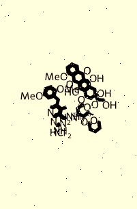 COc1ccc(OC)c(Cc2cnc3nc(N)nc(N)c3c2C)c1.COc1cccc2c1C(=O)c1c(O)c3c(c(O)c1C2=O)C[C@@](O)(C(=O)CO)CC3O[C@H]1C[C@H](N)[C@H](O[C@@H]2CCCCO2)[C@H](C)O1.Cl